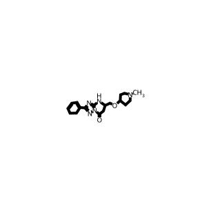 CN1CCC(OCC2CC(=O)n3nc(C4=CC=CCC4)nc3N2)CC1